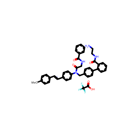 COc1ccc(/C=C/c2ccc(N(Cc3ccc(-c4ccccc4C(=O)NCCN)cc3)C(=O)CNC(=O)c3ccccc3)cc2)cc1.O=C(O)C(F)(F)F